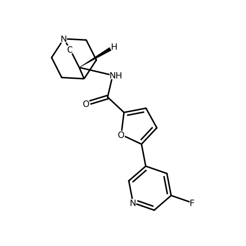 O=C(N[C@H]1CN2CCC1CC2)c1ccc(-c2cncc(F)c2)o1